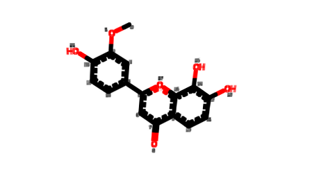 COc1cc(-c2cc(=O)c3ccc(O)c(O)c3o2)ccc1O